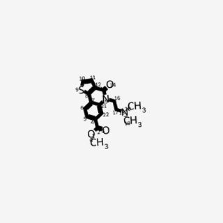 COC(=O)c1ccc2c3sccc3c(=O)n(CCN(C)C)c2c1